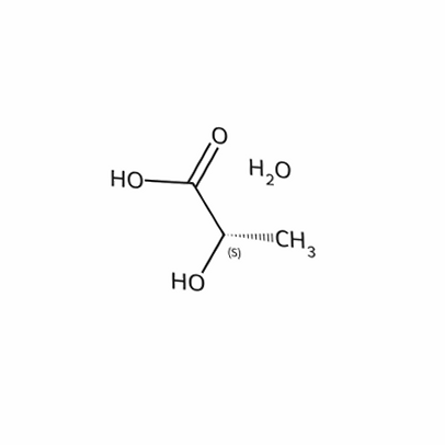 C[C@H](O)C(=O)O.O